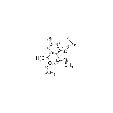 C=C(OCC)c1cc(Br)nc(OC2CC2)c1C(=O)OC